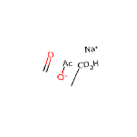 C=O.CC(=O)O.CC(=O)[O-].[Na+]